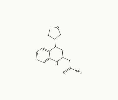 NC(=O)CC1CC(C2CCOC2)c2ccccc2N1